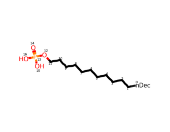 CCCCCCCCCCCCCCCCCCCCCOP(=O)(O)O